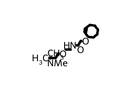 CNC(C)(C)CCOCCNC(=O)COC1C#CCCCCC1